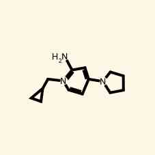 Nc1cc(N2CCCC2)cc[n+]1CC1CC1